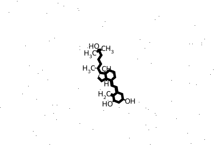 C=C1/C(=C\C=C2/CCC[C@]3(C)[C@@H]([C@H](C)CCCC(C)(C)O)CC[C@@H]23)C[C@@H](O)C[C@H]1O